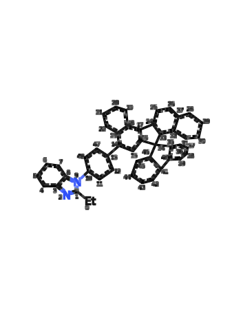 CCc1nc2ccccc2n1-c1ccc(-c2cc3c(c4ccccc24)-c2ccc4ccccc4c2C32c3ccccc3-c3ccccc32)cc1